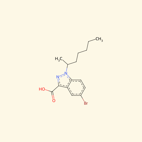 CCCCCC(C)n1nc(C(=O)O)c2cc(Br)ccc21